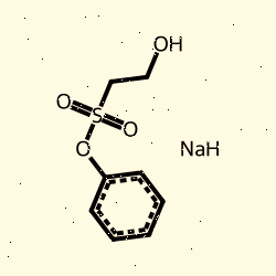 O=S(=O)(CCO)Oc1ccccc1.[NaH]